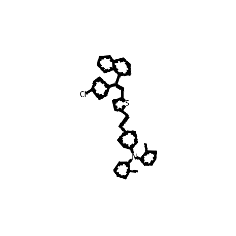 Cc1ccccc1N(c1ccc(C=Cc2ccc(C=C(c3ccc(Cl)cc3)c3cccc4ccccc34)s2)cc1)c1ccccc1C